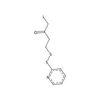 O=C(CI)CCSSc1ccccn1